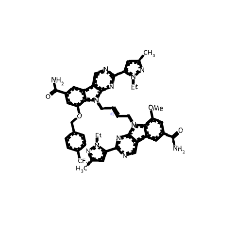 CCn1nc(C)cc1-c1ncc2c3cc(C(N)=O)cc(OC)c3n(C/C=C/Cn3c4nc(-c5cc(C)nn5CC)ncc4c4cc(C(N)=O)cc(OCc5ccc(C(F)(F)F)cc5)c43)c2n1